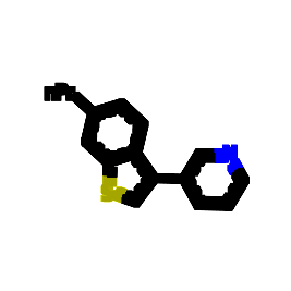 CCCc1ccc2c(-c3cccnc3)csc2c1